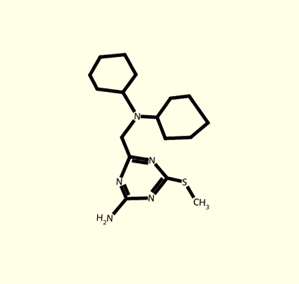 CSc1nc(N)nc(CN(C2CCCCC2)C2CCCCC2)n1